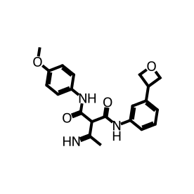 COc1ccc(NC(=O)C(C(C)=N)C(=O)Nc2cccc(C3COC3)c2)cc1